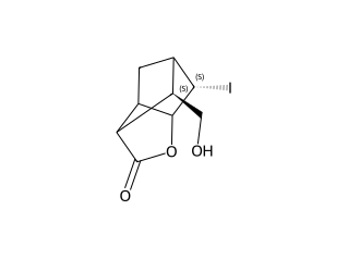 O=C1OC2C3CC([C@@H]2I)[C@@H](CO)C13